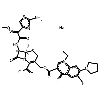 CCn1cc(C(=O)OCC2=C(C(=O)[O-])N3C(=O)[C@@H](NC(=O)C(=NOC)c4csc(N)n4)[C@H]3SC2)c(=O)c2cc(F)c(N3CCCC3)cc21.[Na+]